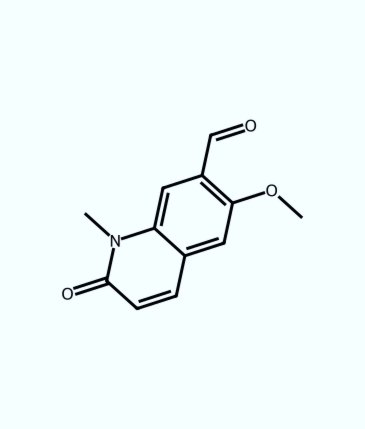 COc1cc2ccc(=O)n(C)c2cc1C=O